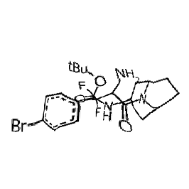 CC(C)(C)OC(=O)NC1CC2CCC(C1)N2C(=O)C(N)C(F)(F)c1ccc(Br)cc1